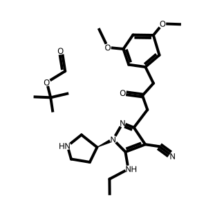 CC(C)(C)OC=O.CCNc1c(C#N)c(CC(=O)Cc2cc(OC)cc(OC)c2)nn1[C@H]1CCNC1